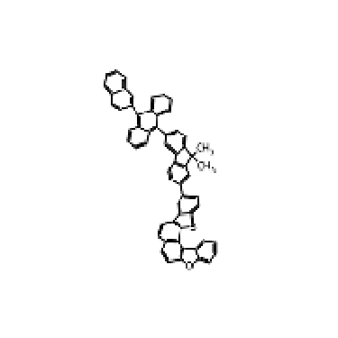 CC1(C)c2ccc(-c3c4c(c(-c5ccc6ccccc6c5)c5ccccc35)=CCCC=4)cc2-c2ccc(-c3ccc4sc5c(ccc6ccc7oc8ccccc8c7c65)c4c3)cc21